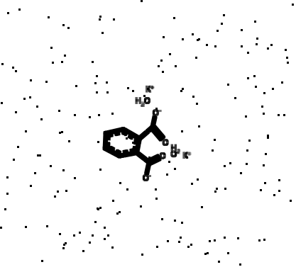 O.O.O=C([O-])c1ccccc1C(=O)[O-].[K+].[K+]